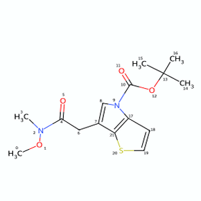 CON(C)C(=O)Cc1cn(C(=O)OC(C)(C)C)c2ccsc12